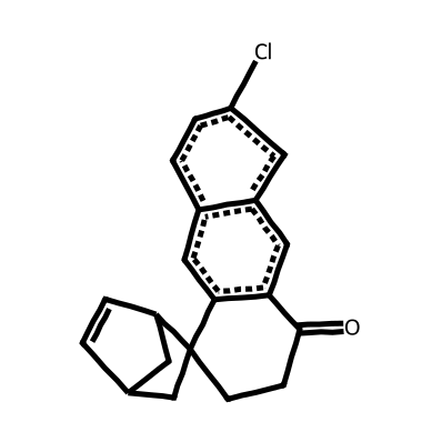 O=C1CCC2(CC3C=CC2C3)c2cc3ccc(Cl)cc3cc21